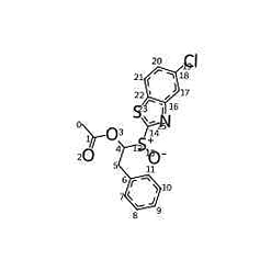 CC(=O)OC(Cc1ccccc1)[S+]([O-])c1nc2cc(Cl)ccc2s1